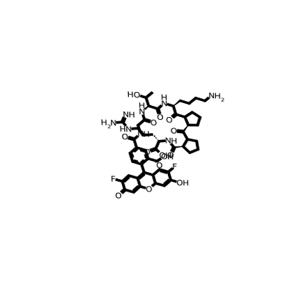 CC(O)[C@H](NC(=O)CNC(=O)c1ccc(C2=C3C=C(F)C(=O)C=C3OC3C=C(O)C(F)=CC23)c(C(=O)O)c1)C(=O)N[C@@H](CCCCN)C(=O)C1CCC[C@H]1C(=O)C1CCC[C@H]1C(=O)N[C@@H](CCCNC(=N)N)C(=O)O